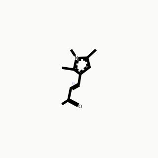 CC(=O)/C=C/c1cc(C)n(C)c1C